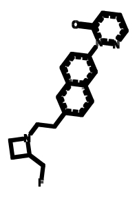 O=c1cccnn1-c1ccc2cc(CCN3CCC3CF)ccc2c1